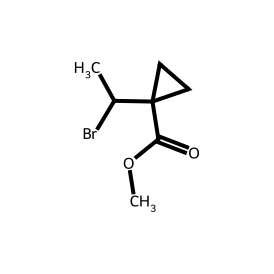 COC(=O)C1(C(C)Br)CC1